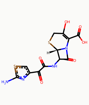 Nc1nc(C(=O)C(=O)NC2C(=O)N3C(C(=O)O)=C(O)CS[C@@H]23)cs1